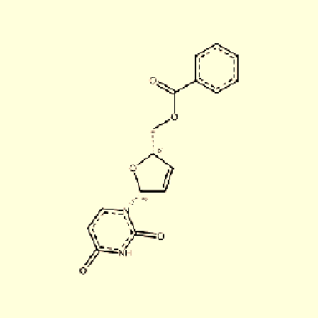 O=C(OC[C@@H]1C=C[C@H](n2ccc(=O)[nH]c2=O)O1)c1ccccc1